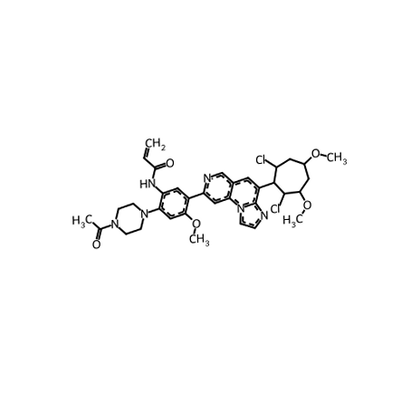 C=CC(=O)Nc1cc(-c2cc3c(cn2)cc(C2C(Cl)CC(OC)CC(OC)C2Cl)c2nccn23)c(OC)cc1N1CCN(C(C)=O)CC1